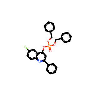 O=P(OCc1ccccc1)(OCc1ccccc1)Oc1cc(-c2ccccc2)nc2ccc(F)cc12